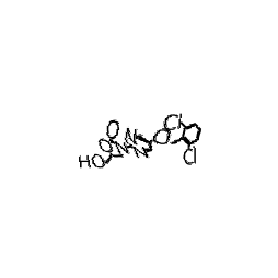 O=C1OC(CO)CN1c1ncc(OCc2c(Cl)cccc2Cl)cn1